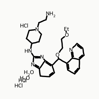 CCOCCOC(C1=C2N=C(NC3CCN(CCN)CC3)N=C2CC=C1)c1cccc2cccnc12.Cl.Cl.Cl.O.O